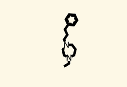 CCN1CCCN(CCCc2ccccc2)CC1